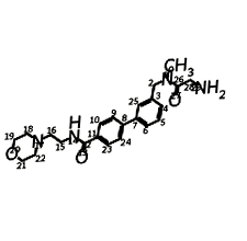 CN(Cc1cccc(-c2ccc(C(=O)NCCN3CCOCC3)cc2)c1)C(=O)CN